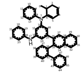 CC1CC=CC=C1N(c1ccccc1)c1cc(Nc2ccccc2)cc(-c2cc3ccccc3cc2-c2ccccc2-c2ccccc2)c1